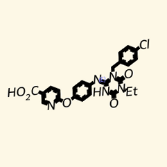 CCn1c(=O)[nH]/c(=N\c2ccc(Oc3ccc(C(=O)O)cn3)cc2)n(Cc2ccc(Cl)cc2)c1=O